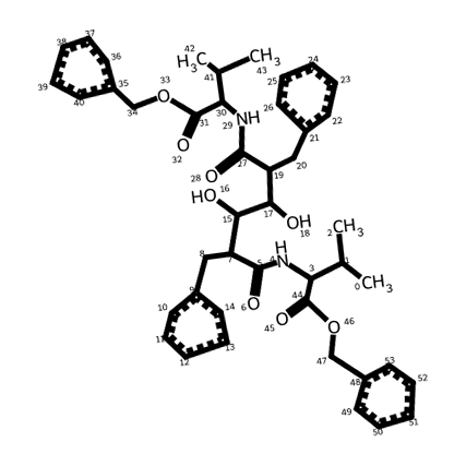 CC(C)C(NC(=O)C(Cc1ccccc1)C(O)C(O)C(Cc1ccccc1)C(=O)NC(C(=O)OCc1ccccc1)C(C)C)C(=O)OCc1ccccc1